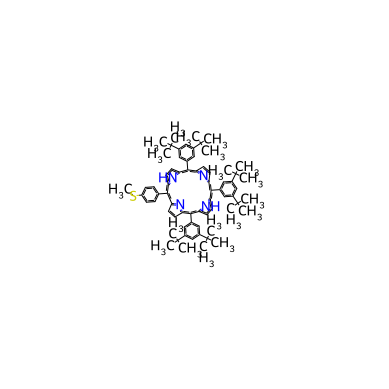 CSc1ccc(-c2c3nc(c(-c4cc(C(C)(C)C)cc(C(C)(C)C)c4)c4ccc([nH]4)c(-c4cc(C(C)(C)C)cc(C(C)(C)C)c4)c4nc(c(-c5cc(C(C)(C)C)cc(C(C)(C)C)c5)c5ccc2[nH]5)C=C4)C=C3)cc1